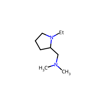 CCN1CCCC1CN(C)C